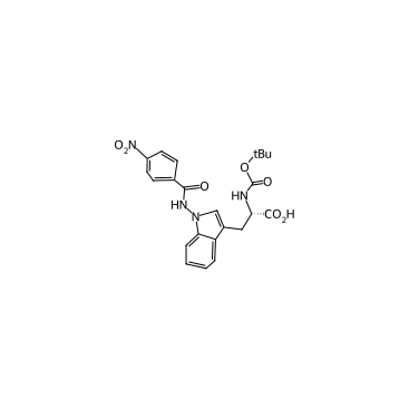 CC(C)(C)OC(=O)N[C@@H](Cc1cn(NC(=O)c2ccc([N+](=O)[O-])cc2)c2ccccc12)C(=O)O